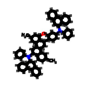 Cc1ccc2c(N(c3ccccc3)c3cc4ccccc4c4ccccc34)cc3c4cc(C)cc5c4c(cc3c2c1)-c1ccc(N(c2ccccc2)c2cc3ccccc3c3ccccc23)cc1O5